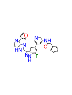 O=C(Cc1ccccc1)Nc1cncc(-c2cc(F)c3[nH]nc(-c4nc5c(-c6ccoc6)nccc5[nH]4)c3c2)c1